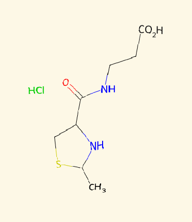 CC1NC(C(=O)NCCC(=O)O)CS1.Cl